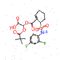 CC(C)(C)C(=O)OC(OC(=O)C1=CCCCC1S(=O)(=O)Nc1ccc(F)cc1F)C(=O)O